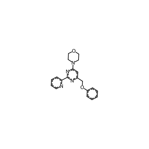 c1ccc(OCc2cc(N3CCOCC3)nc(-c3ccccn3)n2)cc1